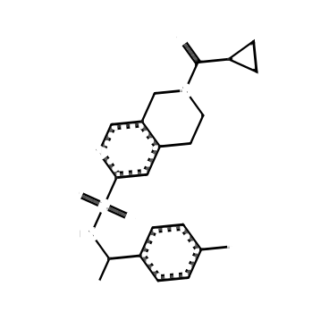 CC(NS(=O)(=O)c1cc2c(cn1)CN(C(=O)C1CC1)CC2)c1ccc(F)cc1